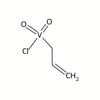 C=C[CH2][V](=[O])(=[O])[Cl]